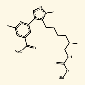 COC(=O)c1cc(C)nc(-c2cnn(C)c2CCCC[C@@H](C)CNC(=O)OC(C)(C)C)c1